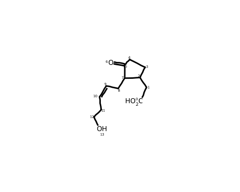 O=C(O)CC1CCC(=O)C1C/C=C\CCO